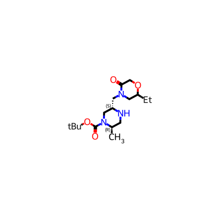 CCC1CN(C[C@H]2CN(C(=O)OC(C)(C)C)[C@H](C)CN2)C(=O)CO1